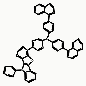 c1ccc(-n2c3ccccc3c3oc4c(-c5ccc(N(c6ccc(-c7cccc8ccccc78)cc6)c6ccc(-c7cccc8ccccc78)cc6)cc5)cccc4c32)cc1